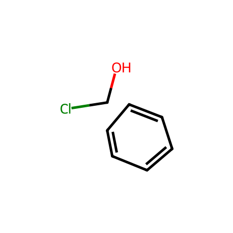 OCCl.c1ccccc1